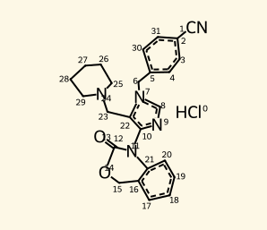 Cl.N#Cc1ccc(Cn2cnc(N3C(=O)OCc4ccccc43)c2CN2CCCCC2)cc1